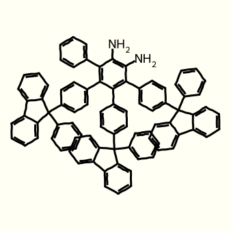 Nc1c(N)c(-c2ccc(C3(c4ccccc4)c4ccccc4-c4ccccc43)cc2)c(-c2ccc(C3(c4ccccc4)c4ccccc4-c4ccccc43)cc2)c(-c2ccc(C3(c4ccccc4)c4ccccc4-c4ccccc43)cc2)c1-c1ccccc1